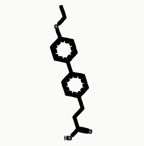 CCOc1ccc(-c2ccc(CCC(=O)O)cc2)cc1